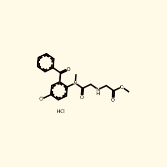 COC(=O)CNCC(=O)N(C)c1ccc(Cl)cc1C(=O)c1ccccc1.Cl